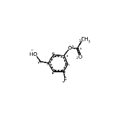 CC(=O)Oc1cc(F)cc(CO)c1